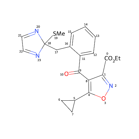 CCOC(=O)c1noc(C2CC2)c1C(=O)c1ccccc1CC1(SC)N=CC=N1